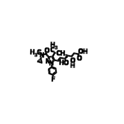 CC(C)c1c(C(=O)N(C)C2CC2)nn(-c2ccc(F)cc2)c1/C=C/[C@H](O)C[C@@H](O)CC(=O)O